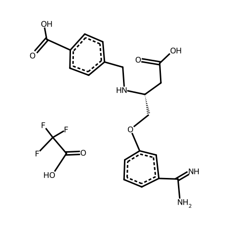 N=C(N)c1cccc(OC[C@@H](CC(=O)O)NCc2ccc(C(=O)O)cc2)c1.O=C(O)C(F)(F)F